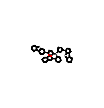 c1cc(-c2cccc3c2sc2ccccc23)cc(N(c2ccc(-c3ccc4c(c3)sc3ccccc34)cc2)c2ccccc2-c2ccc3ccccc3c2)c1